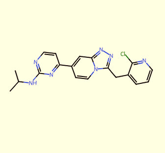 CC(C)Nc1nccc(-c2ccn3c(Cc4cccnc4Cl)nnc3c2)n1